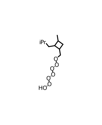 CC(C)CC1C(C)CC1COOOOOOO